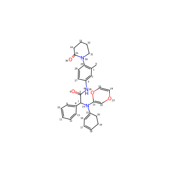 Cc1cc(NC(=O)C(c2ccccc2)N(C2=CC=CCC2)C2=COC=CO2)ccc1N1CCCCC1=O